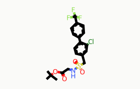 CC(C)(C)OC(=O)CNS(=O)(=O)Cc1ccc(-c2ccc(C(F)(F)F)cc2)c(Cl)c1